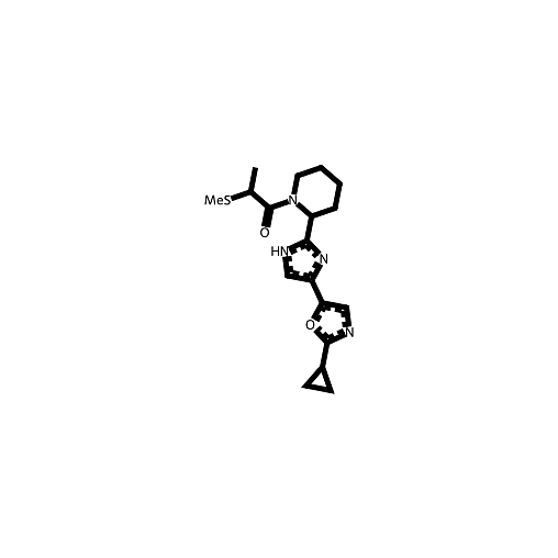 CSC(C)C(=O)N1CCCCC1c1nc(-c2cnc(C3CC3)o2)c[nH]1